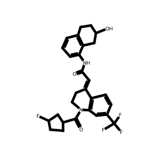 O=C(C=C1CCN(C(=O)C2CCC(F)C2)c2cc(C(F)(F)F)ccc21)Nc1cccc2c1CC(O)CC2